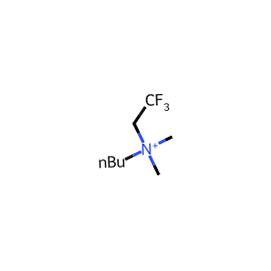 CCCC[N+](C)(C)CC(F)(F)F